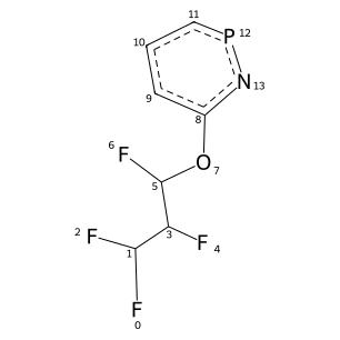 FC(F)C(F)C(F)Oc1cccpn1